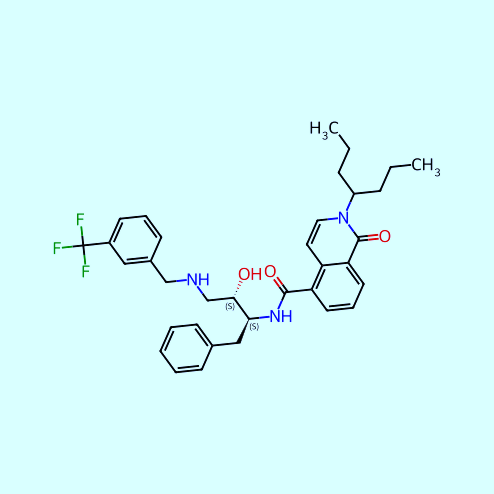 CCCC(CCC)n1ccc2c(C(=O)N[C@@H](Cc3ccccc3)[C@@H](O)CNCc3cccc(C(F)(F)F)c3)cccc2c1=O